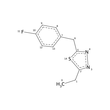 CCc1nnc(Cc2ccc(F)cc2)s1